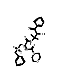 CC(C)(NC(=O)[C@H](CS(=O)(=O)Cc1ccccc1)NC(=O)N1CCOCC1)C(O)C(=O)c1ccccc1